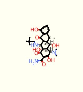 C[C@H]1c2cccc(O)c2C(=O)C2[C@@H]1[C@H](O)[C@H]1[C@H](N(C)C)C(O)=C(C(N)=O)C(=O)[C@@]1(O)[C@H]2NCC(C)(C)C